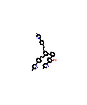 Cc1ccc(-c2ccc(CCc3cc(CCc4ccc(-c5ccc(C)cn5)cc4)cc(-c4ccccc4-c4ccc(-c5ccc(C)cn5)cc4O)c3)cc2)nc1